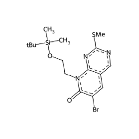 CSc1ncc2cc(Br)c(=O)n(CCO[Si](C)(C)C(C)(C)C)c2n1